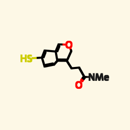 CNC(=O)CCC1=c2ccc(S)cc2=COC1